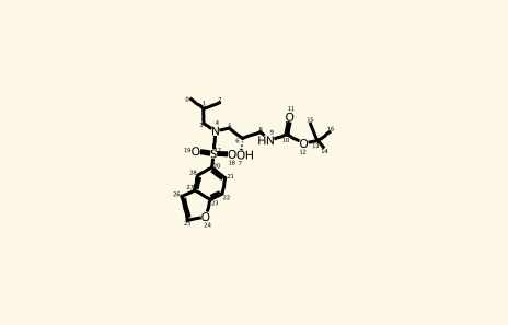 CC(C)CN(C[C@@H](O)CNC(=O)OC(C)(C)C)S(=O)(=O)c1ccc2occc2c1